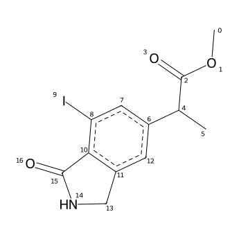 COC(=O)C(C)c1cc(I)c2c(c1)CNC2=O